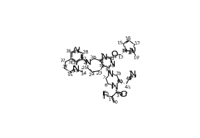 C=C(F)C(=O)N1CCN(c2nc(OC[C@@H]3CCCN3C)nc3c2CCCN(c2cncc4c2N(C)CCC4)C3)C[C@@H]1CC#N